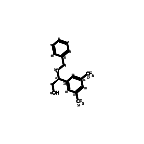 OC[C@@H](OCc1ccccc1)c1cc(C(F)(F)F)cc(C(F)(F)F)c1